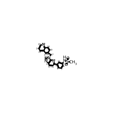 CS(=O)(=O)Nc1cccc(-c2ccc3nnn(Cc4ccc5ncccc5c4)c3n2)c1